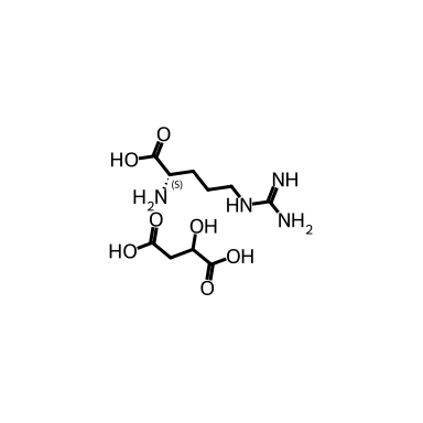 N=C(N)NCCC[C@H](N)C(=O)O.O=C(O)CC(O)C(=O)O